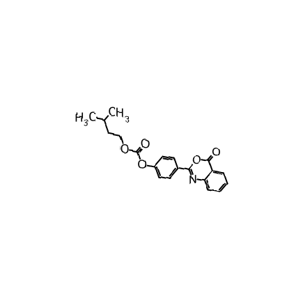 CC(C)CCOC(=O)Oc1ccc(-c2nc3ccccc3c(=O)o2)cc1